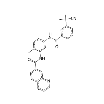 Cc1ccc(NC(=O)c2cccc(C(C)(C)C#N)c2)cc1NC(=O)c1ccc2nccnc2c1